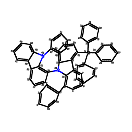 c1ccc(-c2cccc3c4c([Si](c5ccccc5)(c5ccccc5)c5ccccc5)cccc4n(-c4cccc5c6ccccc6n(-c6ccccc6)c45)c23)cc1